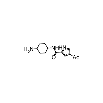 CC(=O)c1c[nH]c(C(=O)NC2CCC(N)CC2)c1